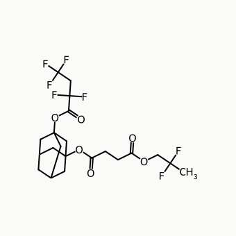 CC(F)(F)COC(=O)CCC(=O)OC12CC3CC(C1)CC(OC(=O)C(F)(F)CC(F)(F)F)(C3)C2